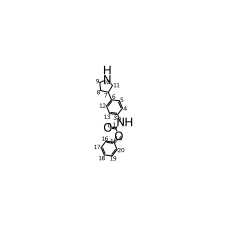 O=C(Nc1ccc(C2CCNC2)cc1)Oc1ccccc1